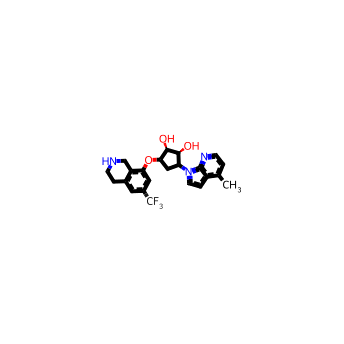 Cc1ccnc2c1ccn2C1CC(Oc2cc(C(F)(F)F)cc3c2CNCC3)[C@@H](O)[C@H]1O